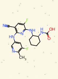 Cc1ncc(Nc2nc(N[C@@H]3CCCC[C@@H]3NC(=O)O)c(F)cc2C#N)cc1F